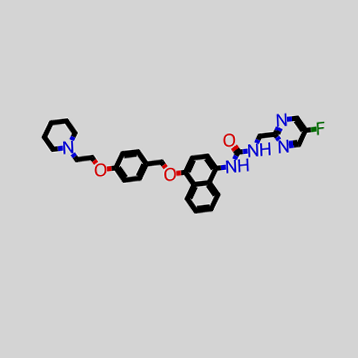 O=C(NCc1ncc(F)cn1)Nc1ccc(OCc2ccc(OCCN3CCCCC3)cc2)c2ccccc12